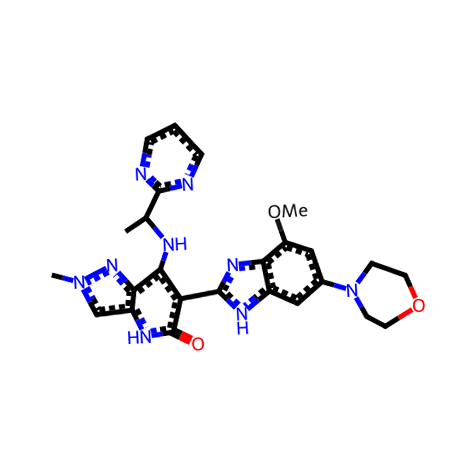 COc1cc(N2CCOCC2)cc2[nH]c(-c3c(NC(C)c4ncccn4)c4nn(C)cc4[nH]c3=O)nc12